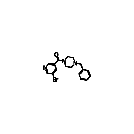 O=C(c1cncc(Br)c1)N1CCN(Cc2ccccc2)CC1